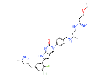 CCOCCC(=N)NCCC(C)NCc1ccc(-n2cc3cc(-c4cc(CCC[C@H](C)N)cc(Cl)c4F)[nH]c3nc2=O)cc1